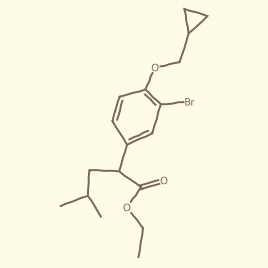 CCOC(=O)C(CC(C)C)c1ccc(OCC2CC2)c(Br)c1